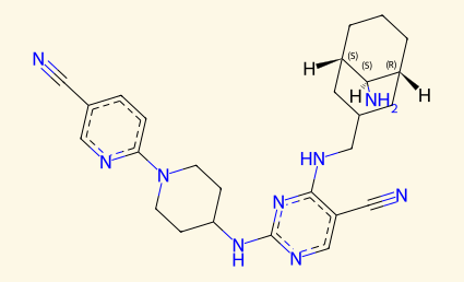 N#Cc1ccc(N2CCC(Nc3ncc(C#N)c(NCC4C[C@H]5CCC[C@@H](C4)[C@@H]5N)n3)CC2)nc1